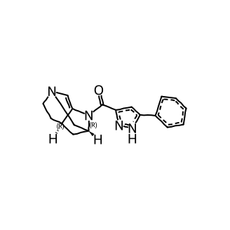 O=C(c1cc(-c2ccccc2)[nH]n1)N1C2=CN3CC[C@@H]2C[C@@H]1C3